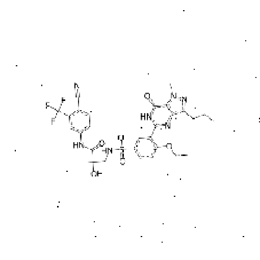 CCCc1nn(C)c2c(=O)[nH]c(-c3cc(S(=O)(=O)NCC(C)(O)C(=O)Nc4ccc(C#N)c(C(F)(F)F)c4)ccc3OCC)nc12